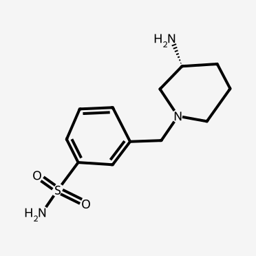 N[C@@H]1CCCN(Cc2cccc(S(N)(=O)=O)c2)C1